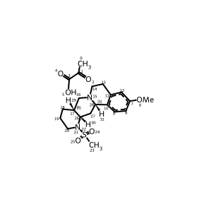 CC(=O)C(=O)O.COc1ccc2c(c1)CCN1C[C@H]3CCCN(S(C)(=O)=O)[C@H]3C[C@@H]21